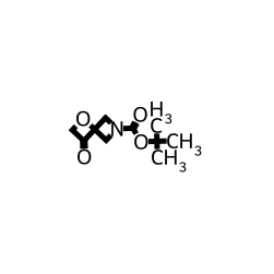 CC(C)(C)OC(=O)N1CC2(C1)OCC2=O